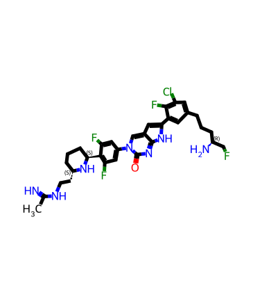 CC(=N)NCC[C@@H]1CCC[C@@H](c2c(F)cc(-n3cc4cc(-c5cc(CCC[C@@H](N)CF)cc(Cl)c5F)[nH]c4nc3=O)cc2F)N1